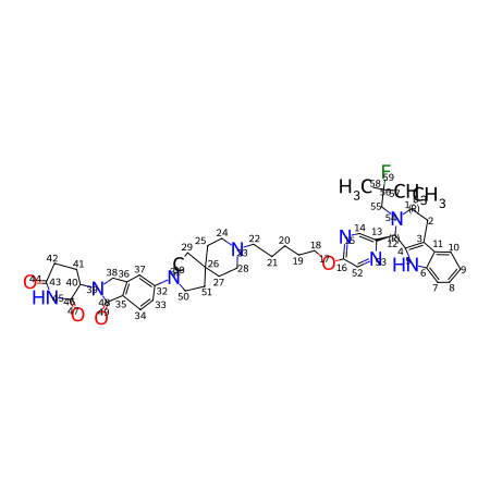 C[C@@H]1Cc2c([nH]c3ccccc23)[C@@H](c2cnc(OCCCCCN3CCC4(CC3)CCN(c3ccc5c(c3)CN(C3CCC(=O)NC3=O)C5=O)CC4)cn2)N1CC(C)(C)F